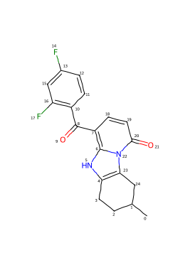 CC1CCc2[nH]c3c(C(=O)c4ccc(F)cc4F)ccc(=O)n3c2C1